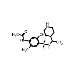 CC(=O)Nc1cc(C)c(S(=O)(=O)NC(C)C2CCNCC2)cc1C